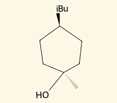 CCC(C)[C@H]1CC[C@@](C)(O)CC1